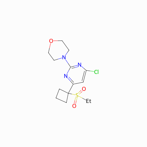 CCS(=O)(=O)C1(c2cc(Cl)nc(N3CCOCC3)n2)CCC1